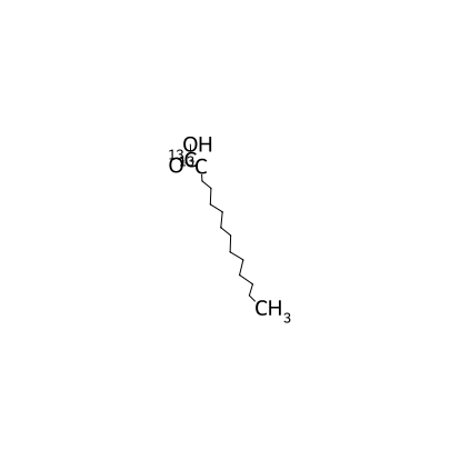 CCCCCCCCCCCC[13CH2][13C](=O)O